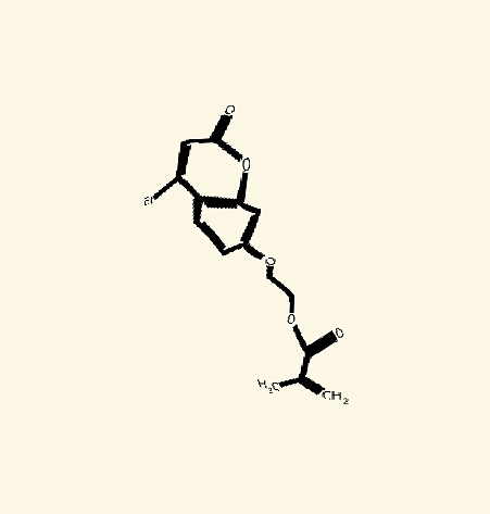 C=C(C)C(=O)OCCOc1ccc2c(CC)cc(=O)oc2c1